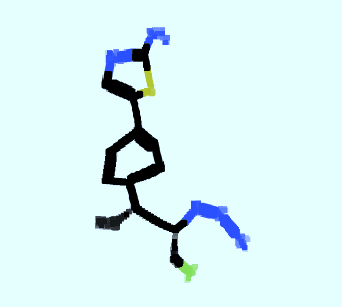 CO[C@H](c1ccc(-c2cnc(N)s2)cc1)[C@@H](CF)N=[N+]=[N-]